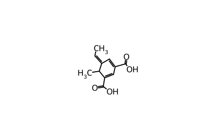 CC=C1C=C(C(=O)O)C=C(C(=O)O)C1C